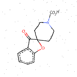 O=C(O)N1CCC2(CC1)Oc1ccccc1C2=O